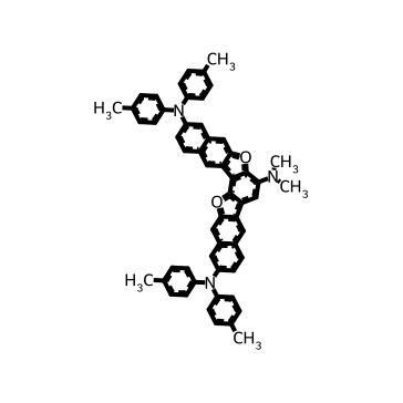 Cc1ccc(N(c2ccc(C)cc2)c2ccc3cc4c(cc3c2)oc2c4cc(N(C)C)c3oc4cc5cc(N(c6ccc(C)cc6)c6ccc(C)cc6)ccc5cc4c32)cc1